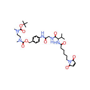 CC(C)C(NC(=O)CCCCCN1C(=O)C=CC1=O)C(=O)NCC(=O)Nc1ccc(COC(=O)N(C)CCN(C)C(=O)OC(C)(C)C)cc1